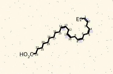 CC/C=C\C/C=C\C/C=C\C/C=C\C/C=C\CCCCCCCCCC(=O)O